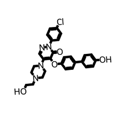 O=c1c(Oc2ccc(-c3ccc(O)cc3)cc2)c(N2CCN(CCO)CC2)cnn1-c1ccc(Cl)cc1